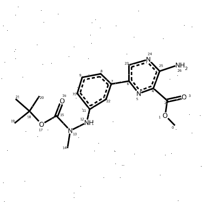 COC(=O)c1nc(-c2cccc(NN(C)C(=O)OC(C)(C)C)c2)cnc1N